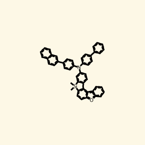 C[Si]1(C)c2cc(N(c3ccc(-c4ccccc4)cc3)c3ccc(-c4ccc5ccccc5c4)cc3)ccc2-c2c1ccc1oc3ccccc3c21